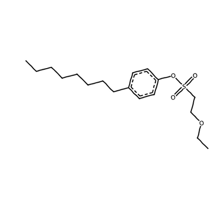 CCCCCCCCc1ccc(OS(=O)(=O)CCOCC)cc1